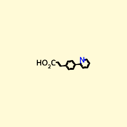 O=C(O)C=Cc1ccc(-c2ccccn2)cc1